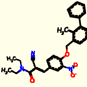 CCN(CC)C(=O)/C(C#N)=C/c1ccc(OCc2cccc(-c3ccccc3)c2C)c([N+](=O)[O-])c1